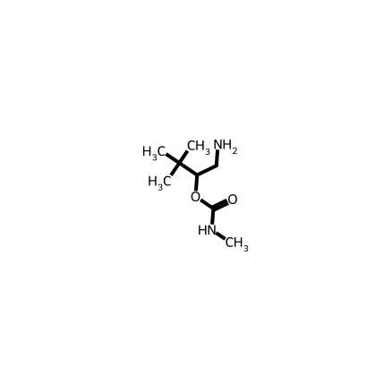 CNC(=O)OC(CN)C(C)(C)C